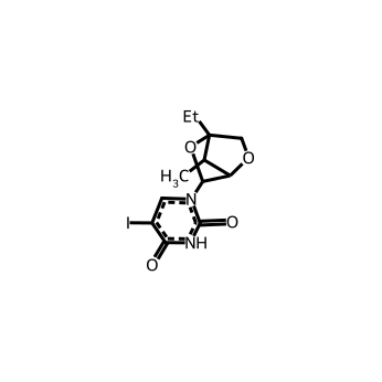 CCC12COC(C(n3cc(I)c(=O)[nH]c3=O)O1)C2C